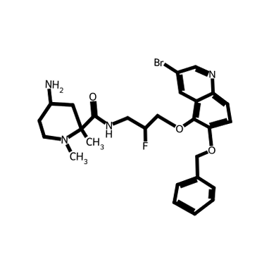 CN1CCC(N)CC1(C)C(=O)NCC(F)COc1c(OCc2ccccc2)ccc2ncc(Br)cc12